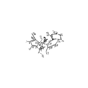 CCCC1=C(C)C(C)=C(C)[C]1(C)[Zr]([Br])([Br])[CH]1C(C)=Cc2ccccc21